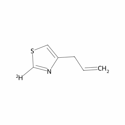 [2H]c1nc(CC=C)cs1